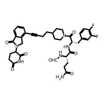 NC(=O)CC[C@H](NC=O)C(=O)N[C@@H](Cc1ccc(F)c(F)c1)C(=O)N1CCC(CCC#Cc2cccc3c2CN(C2CCC(=O)NC2=O)C3=O)CC1